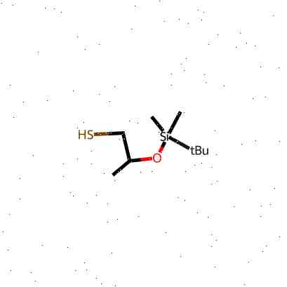 CC(CS)O[Si](C)(C)C(C)(C)C